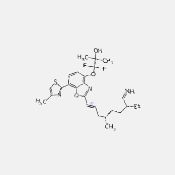 CCC(C=N)CCC(C)C/C=C/c1nc2c(OC(F)(F)C(C)(C)O)ccc(-c3nc(C)cs3)c2o1